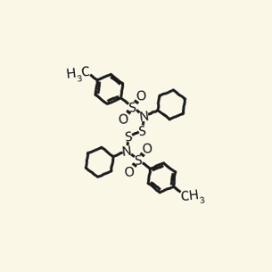 Cc1ccc(S(=O)(=O)N(SSN(C2CCCCC2)S(=O)(=O)c2ccc(C)cc2)C2CCCCC2)cc1